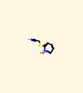 N#CCSc1cccc[n+]1[O-]